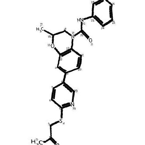 CC(=O)CSc1ccc(-c2ccc3c(c2)OC(C)CN3C(=O)Nc2ccccc2)cn1